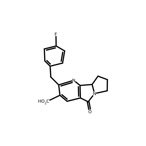 O=C(O)c1cc2c(nc1Cc1ccc(F)cc1)C1CCCN1C2=O